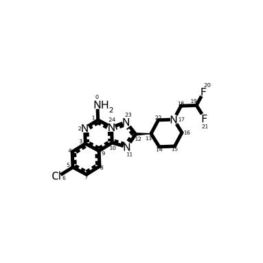 Nc1nc2cc(Cl)ccc2c2nc([C@@H]3CCCN(CC(F)F)C3)nn12